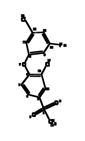 O=S(=O)(c1ccc(Oc2cc(F)cc(Cl)c2)c(Cl)c1)C(F)(F)F